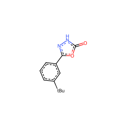 CC(C)(C)c1cccc(-c2n[nH]c(=O)o2)c1